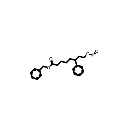 O=POCCC(CCCCC(=O)OCc1ccccc1)c1ccccc1